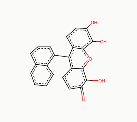 O=c1ccc2c(-c3cccc4ccccc34)c3ccc(O)c(O)c3oc-2c1O